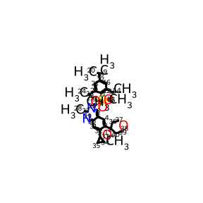 COC1(c2cc3c(OS(=O)(=O)c4c(C(C)C)cc(C(C)C)cc4C(C)C)nc(C)nc3cc2C2CC2)CCOCC1